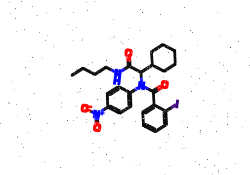 CCCCNC(=O)C(C1CCCCC1)N(C(=O)c1ccccc1I)c1ccc([N+](=O)[O-])cc1